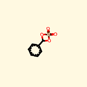 O=S1(=O)OC(c2ccccc2)O1